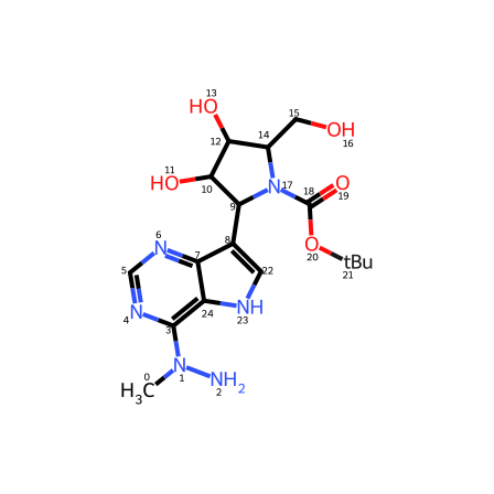 CN(N)c1ncnc2c(C3C(O)C(O)C(CO)N3C(=O)OC(C)(C)C)c[nH]c12